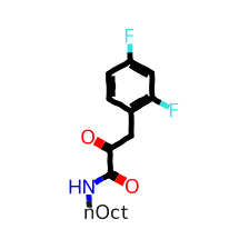 CCCCCCCCNC(=O)C(=O)Cc1ccc(F)cc1F